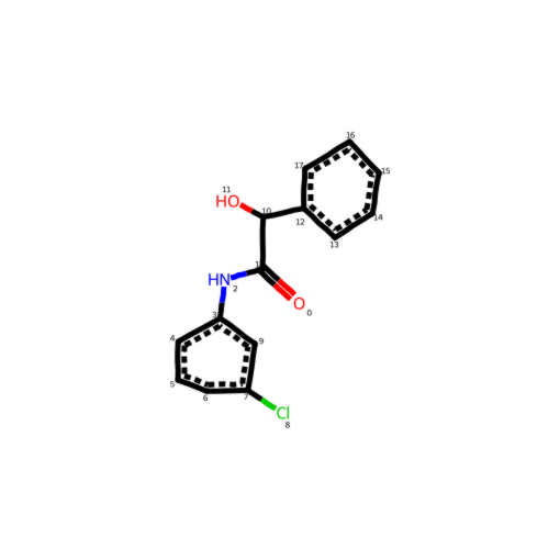 O=C(Nc1cccc(Cl)c1)C(O)c1ccccc1